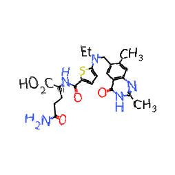 CCN(Cc1cc2c(=O)[nH]c(C)nc2cc1C)c1ccc(C(=O)N[C@@H](CCC(N)=O)C(=O)O)s1